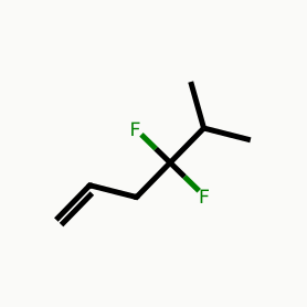 C=CCC(F)(F)C(C)C